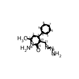 Cc1cc(-c2ccccc2)c(CN=NN)c(=O)n1N